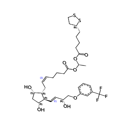 CC(OC(=O)CCC/C=C\C[C@@H]1[C@@H](/C=C/[C@@H](O)COc2cccc(C(F)(F)F)c2)[C@H](O)C[C@@H]1O)OC(=O)CCCC[C@@H]1CCSS1